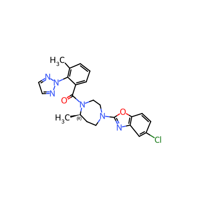 Cc1cccc(C(=O)N2CCN(c3nc4cc(Cl)ccc4o3)CC[C@H]2C)c1-n1nccn1